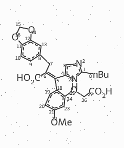 CCCCc1ncc(C(=C(Cc2ccc3c(c2)OCO3)C(=O)O)c2ccc(OC)cc2OCC(=O)O)[nH]1